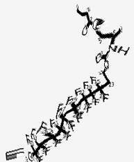 C=CC(=O)OCC(C)NC(=O)OCCC(F)(F)C(F)(F)C(F)(F)C(F)(F)C(F)(F)C(F)(F)C(F)(F)C(F)(F)C(F)(F)C(F)(F)F